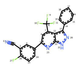 N#Cc1cc(-c2cc(C(F)(F)F)c3c(-c4ccccc4)n[nH]c3n2)ccc1F